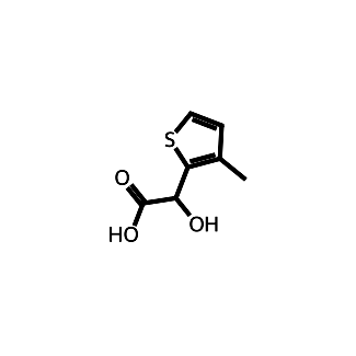 Cc1ccsc1C(O)C(=O)O